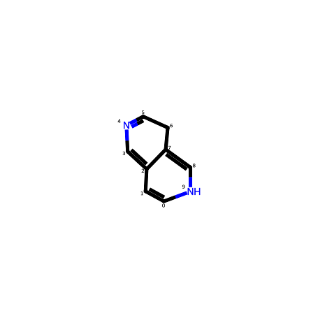 C1=CC2=CN=CCC2=CN1